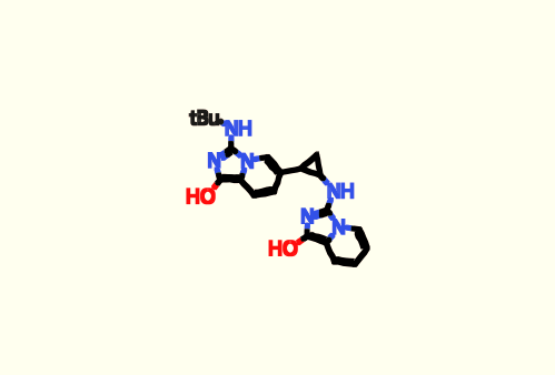 CC(C)(C)Nc1nc(O)c2ccc(C3CC3Nc3nc(O)c4ccccn34)cn12